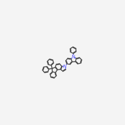 c1ccc(-n2c3ccccc3c3cc(-n4ccc5c6c(ccc54)C(c4ccccc4)(c4ccccc4)c4ccccc4-6)ccc32)cc1